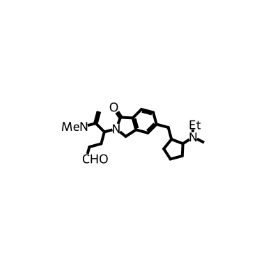 C=C(NC)C(CCC=O)N1Cc2cc(CC3CCCC3N(C)CC)ccc2C1=O